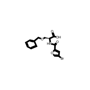 O=C(N[C@@H](COCc1ccccc1)C(=O)O)c1cc(Br)co1